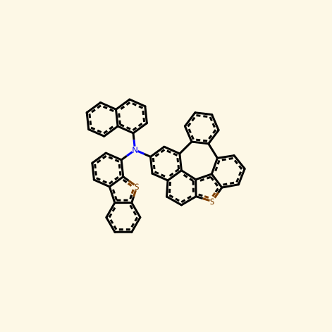 c1ccc2c(c1)-c1cc(N(c3cccc4ccccc34)c3cccc4c3sc3ccccc34)cc3ccc4sc5cccc-2c5c4c13